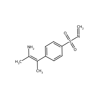 C=NS(=O)(=O)c1ccc(/C(C)=C(/C)N)cc1